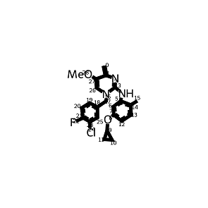 C=C1N=C(Nc2cc(OC3CC3)ccc2C)N(Cc2ccc(F)c(Cl)c2)C=C1OC